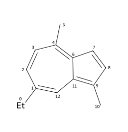 CCc1ccc(C)c2ccc(C)c-2c1